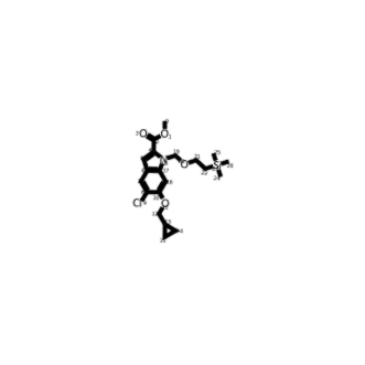 COC(=O)c1cc2cc(Cl)c(OCC3CC3)cc2n1COCC[Si](C)(C)C